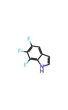 Fc1cc2cc[nH]c2c(F)c1F